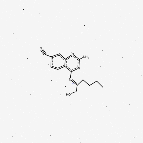 CCCC/C(CO)=N\c1nc(N)nc2cc(C#N)ccc12